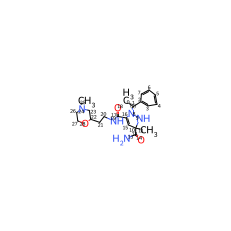 C[C@@H](c1ccccc1)N1NC(C)(C(N)=O)C=C1C(=O)NCCC1CN(C)CCO1